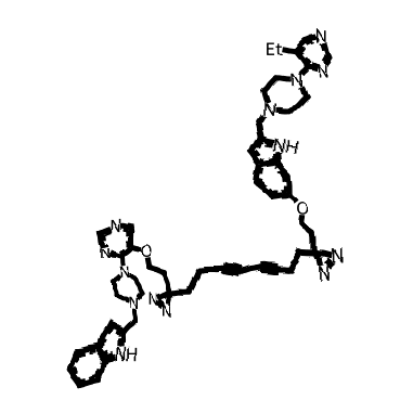 CCc1cncnc1N1CCN(Cc2cc3ccc(OCCC4(CCC#CC#CCCC5(CCOc6cncnc6N6CCN(Cc7cc8ccccc8[nH]7)CC6)N=N5)N=N4)cc3[nH]2)CC1